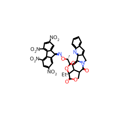 CC[C@@]1(OC(=O)[C@@H](C)ON=C2c3cc([N+](=O)[O-])cc([N+](=O)[O-])c3-c3c2cc([N+](=O)[O-])cc3[N+](=O)[O-])C(=O)OCC2C(=O)N3Cc4cc5ccccc5nc4C3=CC21